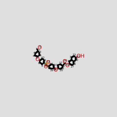 O=Cc1ccc(Oc2ccc(S(=O)(=O)c3ccc(Oc4ccc(C(=O)Oc5ccc6cc(O)ccc6c5)cc4)cc3)cc2)cc1